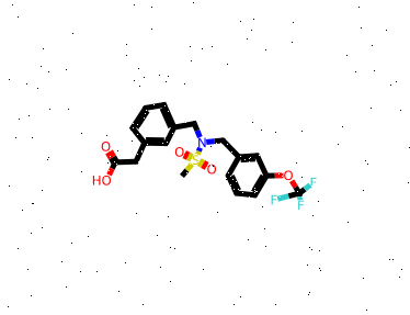 CS(=O)(=O)N(Cc1cccc(CC(=O)O)c1)Cc1cccc(OC(F)(F)F)c1